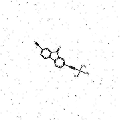 C[Si](C)(C)C#Cc1ccc2c(c1)C(=O)c1cc(C#N)ccc1-2